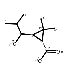 CC(C)C(O)[C@@H]1[C@@H](C(=O)O)C1(C)C